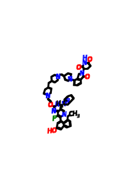 CCc1cccc2cc(O)cc(-c3ncc4c(N5CC6CCC(C5)N6C)nc(OCCN5CCC(CC6CCN(CC7CCN(c8cccc9c8CN(C8CCC(=O)NC8=O)C9=O)CC7)CC6)CC5)nc4c3F)c12